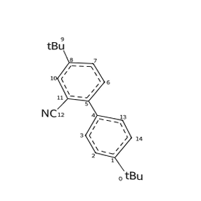 CC(C)(C)c1ccc(-c2ccc(C(C)(C)C)cc2C#N)cc1